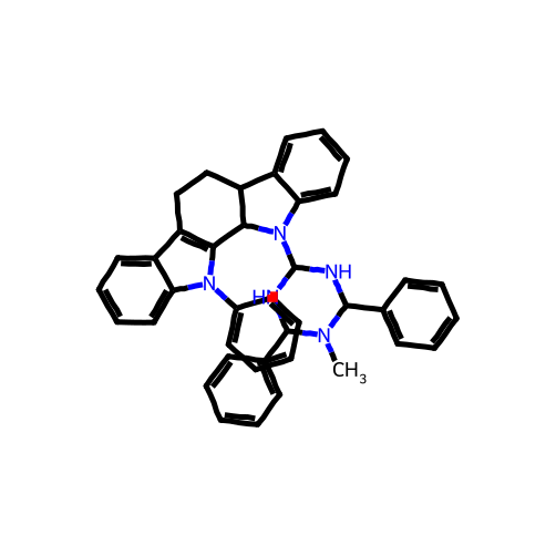 CN1C(c2ccccc2)NC(N2c3ccccc3C3CCc4c(n(-c5ccccc5)c5ccccc45)C32)NC1c1ccccc1